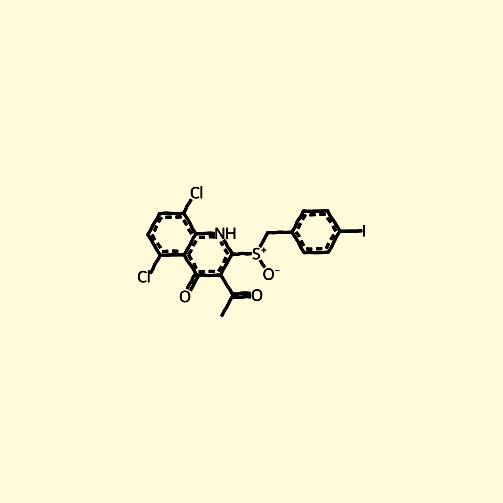 CC(=O)c1c([S+]([O-])Cc2ccc(I)cc2)[nH]c2c(Cl)ccc(Cl)c2c1=O